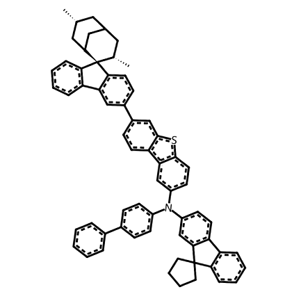 C[C@@H]1CC2CC(C1)[C@@]1(c3ccccc3-c3cc(-c4ccc5c(c4)sc4ccc(N(c6ccc(-c7ccccc7)cc6)c6ccc7c(c6)C6(CCCC6)c6ccccc6-7)cc45)ccc31)[C@@H](C)C2